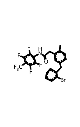 Cc1ccc(Cc2ccccc2Br)cc1CC(=O)Nc1c(F)c(F)c(C(F)(F)F)c(F)c1F